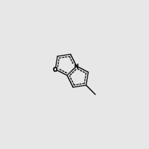 Cc1cc2occn2c1